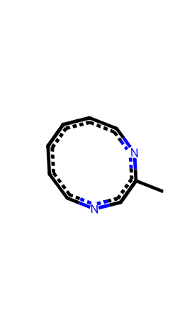 Cc1cnccccccn1